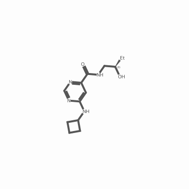 CC[C@@H](O)CNC(=O)c1cc(NC2CCC2)ncn1